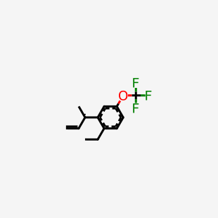 C=C[C](C)c1cc(OC(F)(F)F)ccc1CC